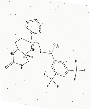 C[C@@H](OC[C@@]1(c2ccccc2)CCC2NC(=O)NC[C@H]2N1)c1cc(C(F)(F)F)cc(C(F)(F)F)c1